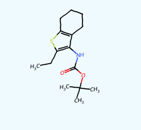 CCc1sc2c(c1NC(=O)OC(C)(C)C)CCCC2